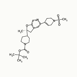 CC(C)(C)OC(=O)N1CCC([C@]2(C)Cc3cc(C4=CCN(S(C)(=O)=O)CC4)ncc3O2)CC1